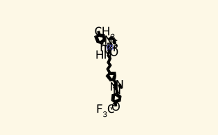 CCCc1ccc(C)cc1N1CCS/C1=N\C(=O)NCCCCc1ccc(-c2ncn(-c3ccc(OC(F)(F)F)cc3)n2)cc1